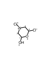 OC1CN(Cl)CC(Cl)O1